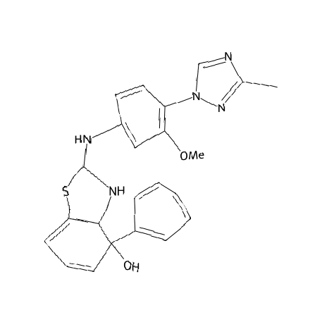 COc1cc(NC2NC3C(=CC=CC3(O)c3ccccc3)S2)ccc1-n1cnc(C)n1